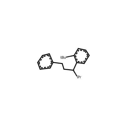 CC(C)[C](CCc1ccccc1)c1ccccc1C(C)(C)C